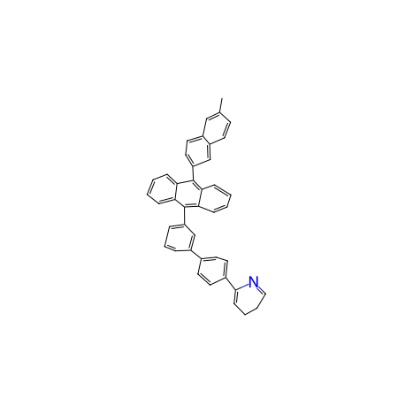 Cc1ccc2cc(-c3c4ccccc4c(-c4cccc(-c5ccc(C6=CCCC=N6)cc5)c4)c4ccccc34)ccc2c1